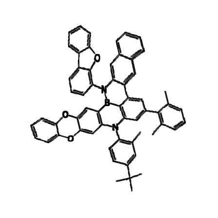 Cc1cc(C(C)(C)C)ccc1N1c2cc3c(cc2B2c4c(cc(-c5c(C)cccc5C)cc41)-c1cc4ccccc4cc1N2c1cccc2c1oc1ccccc12)Oc1ccccc1O3